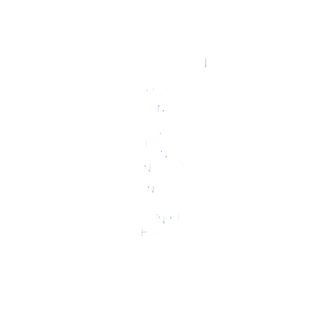 CN(C)[C@H]1CCCN(c2cc(=O)n(CC3(O)CCN(C(=O)CCc4ccccc4)CC3)cn2)C1